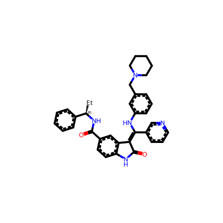 CC[C@@H](NC(=O)c1ccc2c(c1)C(=C(Nc1cccc(CN3CCCCC3)c1)c1cccnc1)C(=O)N2)c1ccccc1